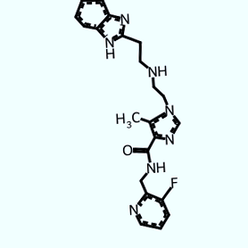 Cc1c(C(=O)NCc2ncccc2F)ncn1CCNCCc1nc2ccccc2[nH]1